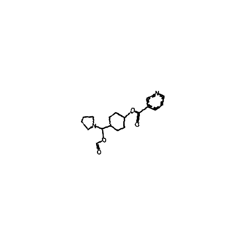 O=COC(C1CCC(OC(=O)c2cccnc2)CC1)N1CCCC1